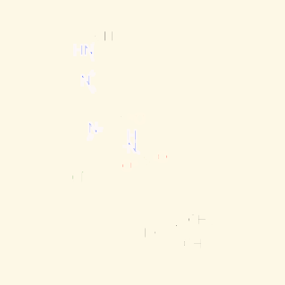 CNc1ccc(C(=O)c2ncc(Cl)cc2NS(=O)(=O)c2ccc(C(C)(C)C)cc2)cn1